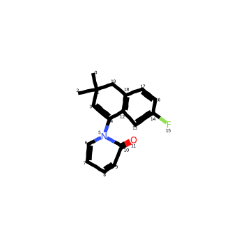 CC1(C)C=C(n2ccccc2=O)c2cc(F)ccc2C1